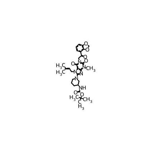 CC(C)=CCn1c(N2CCCC(NC(=O)OC(C)(C)C)C2)nc2c1c(=O)n(CC(=O)c1cccc3c1OCO3)c(=O)n2C